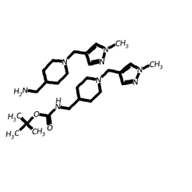 Cn1cc(CN2CCC(CN)CC2)cn1.Cn1cc(CN2CCC(CNC(=O)OC(C)(C)C)CC2)cn1